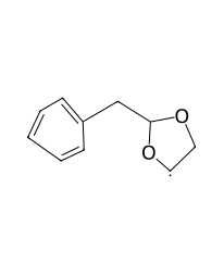 [CH]1COC(Cc2ccccc2)O1